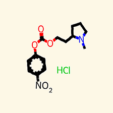 CN1CCCC1CCOC(=O)Oc1ccc([N+](=O)[O-])cc1.Cl